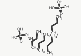 CCCC.CCCC.CCCC.CCCC.N.O=P(O)(O)O.O=P(O)(O)O